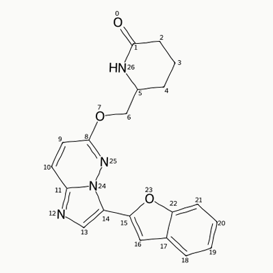 O=C1CCCC(COc2ccc3ncc(-c4cc5ccccc5o4)n3n2)N1